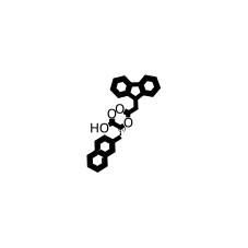 O=C(CC1c2ccccc2-c2ccccc21)O[C@H](Cc1ccc2ccccc2c1)C(=O)O